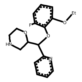 CCOc1cccc(F)c1OC(c1ccccn1)C1CNCCO1